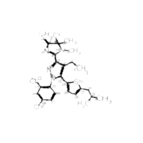 CCc1c(C2=NC(=S)C(C)(C)N2C)nn(-c2ccc(Cl)cc2Cl)c1-c1ccc(CC(C)C)s1